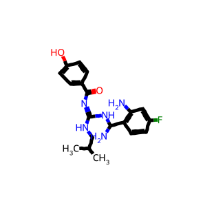 CC(C)CN/C(=N/C(=O)c1ccc(O)cc1)NC(N)c1ccc(F)cc1N